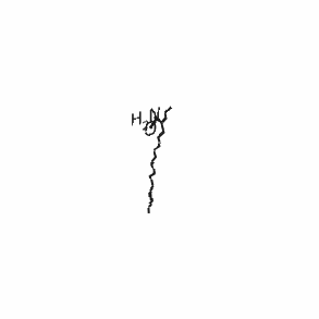 CCC=CCCCCCCCCCC(CCC)C(N)=O